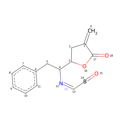 C=C1CC(C(Cc2ccccc2)/N=C\B=O)OC1=O